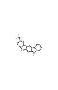 Cn1c2ccccc2c2cc3c(cc21)oc1ccc(C(C)(C)C)cc13